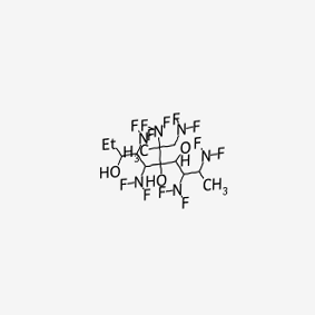 CCC(O)C(C(N(F)F)C(O)(C(O)C(C(C)N(F)F)N(F)F)C(C)(CN(F)F)N(F)F)N(F)F